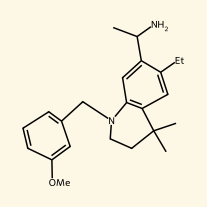 CCc1cc2c(cc1C(C)N)N(Cc1cccc(OC)c1)CCC2(C)C